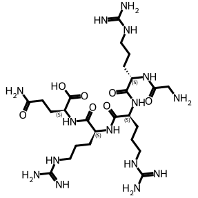 N=C(N)NCCC[C@H](NC(=O)CN)C(=O)N[C@@H](CCCNC(=N)N)C(=O)N[C@@H](CCCNC(=N)N)C(=O)N[C@@H](CCC(N)=O)C(=O)O